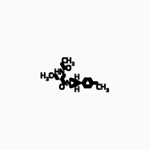 CCC[C@H](CNC(=O)CC)C(=O)N1C[C@@H]2[C@H](C1)[C@H]2c1ccc(CC)cc1